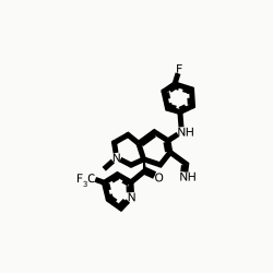 CN1CCC2=CC(Nc3ccc(F)cc3)=C(C=N)C[C@]2(C(=O)c2cc(C(F)(F)F)ccn2)C1